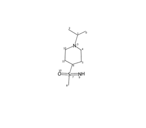 CC(C)N1CCC(S(C)(=N)=O)CC1